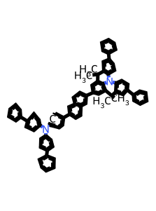 CC1(C)c2cc(-c3ccccc3)ccc2N2c3ccc(-c4ccccc4)cc3C(C)(C)c3cc(-c4ccc5cc(-c6ccc(N(c7ccc(-c8ccccc8)cc7)c7ccc(-c8ccccc8)cc7)cc6)ccc5c4)cc1c32